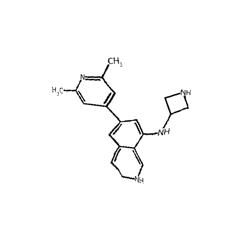 Cc1cc(-c2cc(NC3CNC3)c3c(c2)=CCNC=3)cc(C)n1